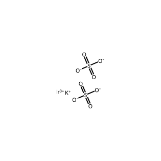 O=S(=O)([O-])[O-].O=S(=O)([O-])[O-].[Ir+3].[K+]